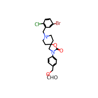 O=COCc1ccc(N2CC3(CCN(Cc4cc(Br)ccc4Cl)CC3)OC2=O)cc1